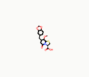 COc1c(Cc2ccc3c(c2)OCO3)cc(=O)n2c1SC[C@H]2C(=O)O